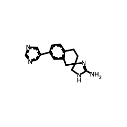 NC1=NC2(CCc3ccc(-c4cncnc4)cc3C2)CN1